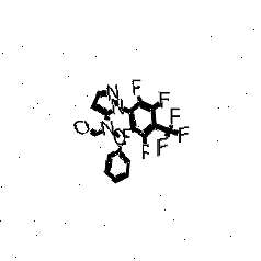 O=CN(Oc1ccccc1)c1ccnn1-c1c(F)c(F)c(C(F)(F)F)c(F)c1F